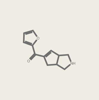 O=C(C1=CC2CNCC2C1)c1ccco1